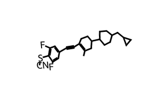 CC1=C(C#Cc2cc(F)c(SC#N)c(F)c2)CCC(C2CCC(CC3CC3)CC2)C1